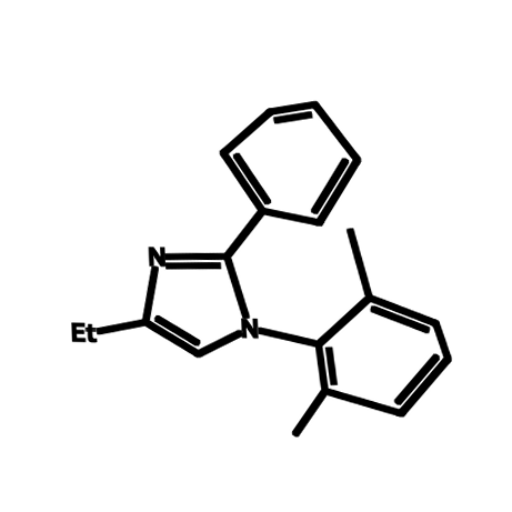 CCc1cn(-c2c(C)cccc2C)c(-c2ccccc2)n1